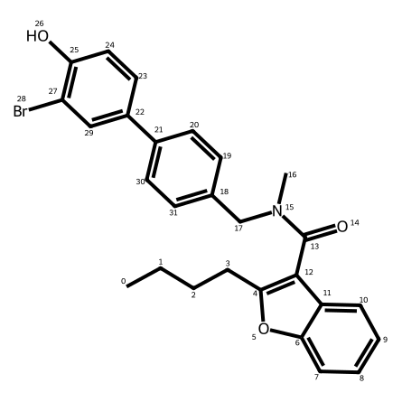 CCCCc1oc2ccccc2c1C(=O)N(C)Cc1ccc(-c2ccc(O)c(Br)c2)cc1